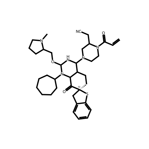 C=CC(=O)N1CCN(C2NC(OCC3CCCN3C)N(C3CCCCCC3)C3C(=O)[C@]4(CCC23)Cc2ccccc2S4)CC1CC#N